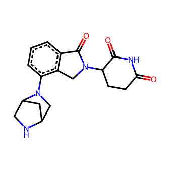 O=C1CCC(N2Cc3c(cccc3N3CC4CC3CN4)C2=O)C(=O)N1